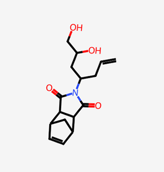 C=CCC(CC(O)CO)N1C(=O)C2C3C=CC(C3)C2C1=O